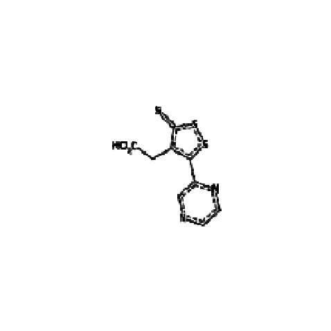 O=C(O)Cc1c(-c2cnccn2)ssc1=S